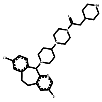 O=C(CC1CCNCC1)N1CCN(C2CCN(C3c4ccc(Cl)cc4CCc4cc(Br)cnc43)CC2)CC1